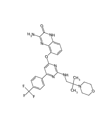 CC(C)(CNc1nc(Oc2cccc3[nH]c(=O)c(N)nc23)cc(-c2ccc(C(F)(F)F)cc2)n1)N1CCOCC1